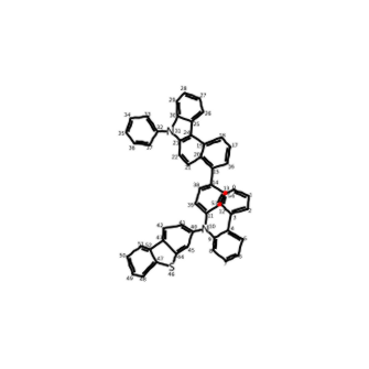 c1ccc(-c2ccccc2N(c2ccc(-c3cccc4c3ccc3c4c4ccccc4n3-c3ccccc3)cc2)c2ccc3c(c2)sc2ccccc23)cc1